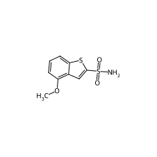 COc1cccc2sc(S(N)(=O)=O)cc12